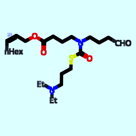 CCCCCC/C=C\COC(=O)CCCN(CCCC=O)C(=O)SCCCN(CC)CC